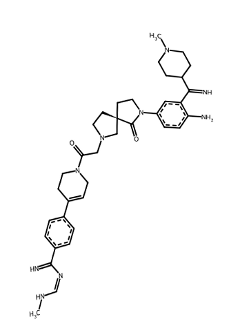 CN/C=N\C(=N)c1ccc(C2=CCN(C(=O)CN3CC[C@]4(CCN(c5ccc(N)c(C(=N)C6CCN(C)CC6)c5)C4=O)C3)CC2)cc1